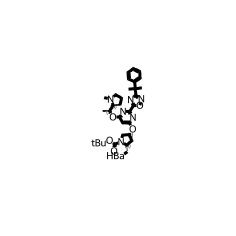 C[C@H](Oc1cc(O[C@@H]2C[C@H]([CH2][BaH])N(C(=O)OC(C)(C)C)C2)nc(-c2nc(C(C)(C)c3ccccc3)no2)n1)[C@@H]1CCCN1C